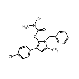 CC(C)N(C)C(=O)Oc1c(-c2ccc(Cl)cc2)cc(C(F)(F)F)n1Cc1ccccc1